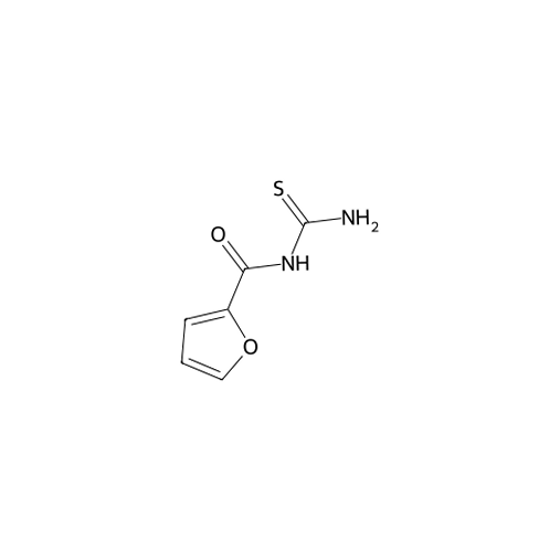 NC(=S)NC(=O)c1ccco1